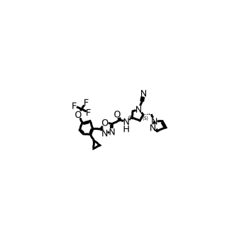 N#CN1C[C@H](NC(=O)c2nnc(-c3cc(OC(F)(F)F)ccc3C3CC3)o2)C[C@H]1Cn1cccn1